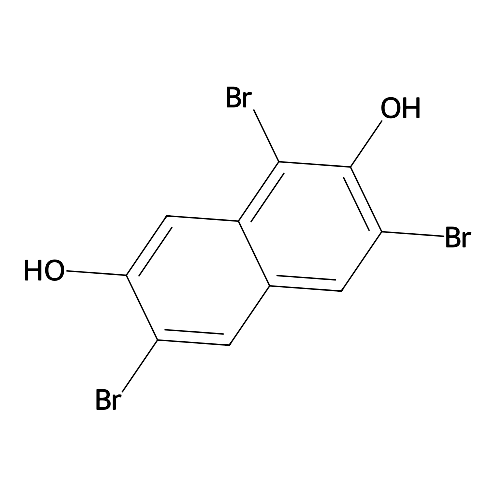 Oc1cc2c(Br)c(O)c(Br)cc2cc1Br